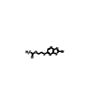 CC(=O)OCCSc1cnc2nc(Br)sc2n1